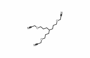 N#CCOCCCC(CCCOCC#N)CCCOCC#N